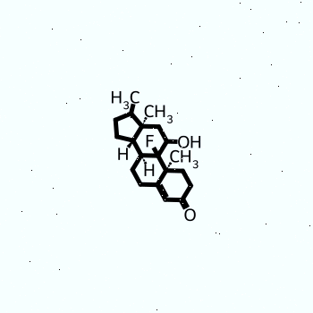 C[C]1CC[C@H]2[C@@H]3CCC4=CC(=O)CC[C@]4(C)C3(F)C(O)C[C@]12C